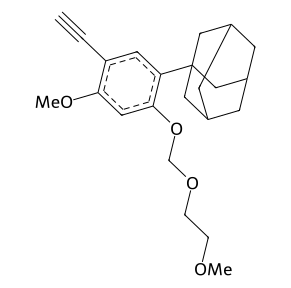 C#Cc1cc(C23CC4CC(CC(C4)C2)C3)c(OCOCCOC)cc1OC